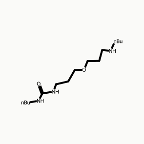 CCCCNCCCOCCCNC(=O)NCCCC